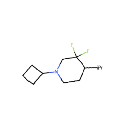 CC(C)C1CCN(C2CCC2)CC1(F)F